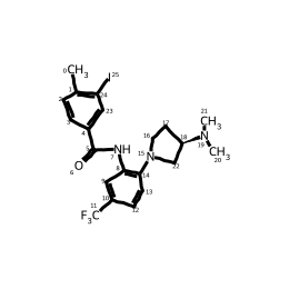 Cc1ccc(C(=O)Nc2cc(C(F)(F)F)ccc2N2CC[C@@H](N(C)C)C2)cc1I